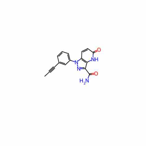 CC#Cc1cccc(-n2nc(C(N)=O)c3[nH]c(=O)ccc32)c1